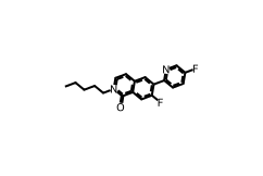 CCCCCn1ccc2cc(-c3ccc(F)cn3)c(F)cc2c1=O